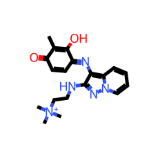 CC1=C(O)/C(=N/c2c(NCC[N+](C)(C)C)nn3ccccc23)C=CC1=O